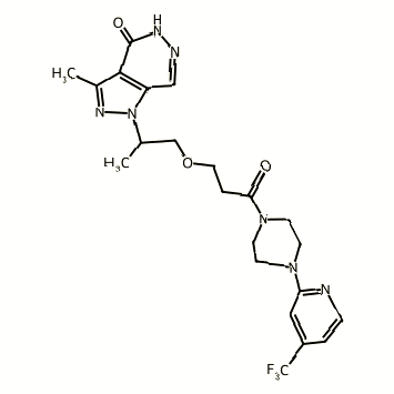 Cc1nn(C(C)COCCC(=O)N2CCN(c3cc(C(F)(F)F)ccn3)CC2)c2cn[nH]c(=O)c12